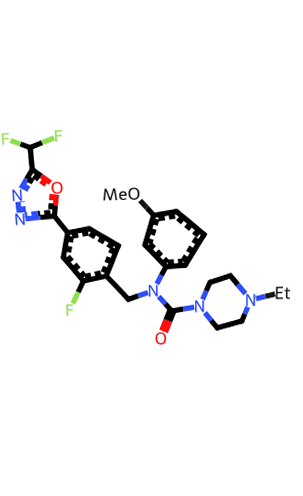 CCN1CCN(C(=O)N(Cc2ccc(-c3nnc(C(F)F)o3)cc2F)c2cccc(OC)c2)CC1